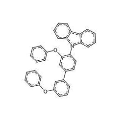 c1ccc(Oc2cccc(-c3ccc(-n4c5ccccc5c5ccccc54)c(Oc4ccccc4)c3)c2)cc1